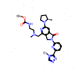 CCn1cnnc1-c1cccc(N2Cc3c(cc(N4CCC[C@H]4C)nc3CN(C)CCNC(=O)OC(C)(C)C)C2=O)n1